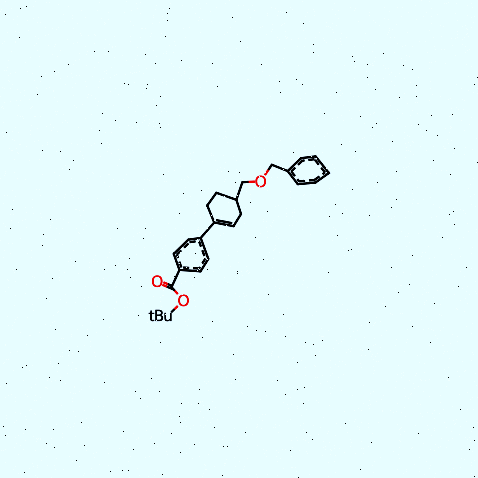 CC(C)(C)OC(=O)c1ccc(C2=CCC(COCc3ccccc3)CC2)cc1